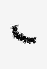 COc1ccc(S(=O)(=O)ON2C(=O)c3ccc(C(c4ccc5c(c4)C(=O)N(OS(=O)(=O)c4ccc(OC)c(OC)c4)C5=O)(C(F)(F)F)C(F)(F)F)cc3C2=O)cc1OC